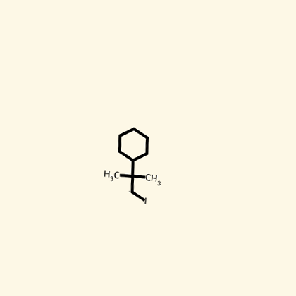 CC(C)([CH]I)C1CCCCC1